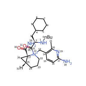 CCCCN[C@H](CC1CCCCC1)C(=O)[N+]1(Cc2ccc(N)nc2C)CCC[C@@H]2C[C@@]21C(N)=O